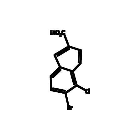 CCOC(=O)c1ccc2c(Cl)c(Br)ccc2c1